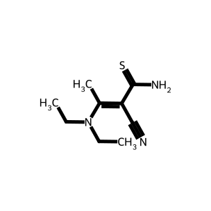 CCN(CC)C(C)=C(C#N)C(N)=S